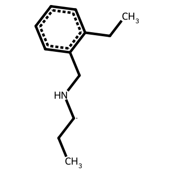 CC[CH]NCc1ccccc1CC